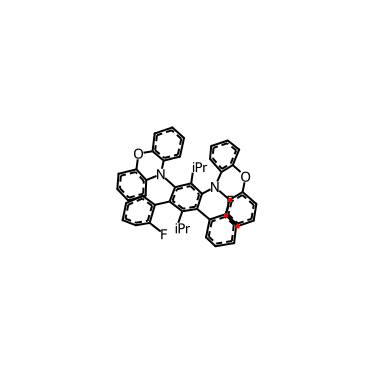 CC(C)c1c(-c2ccccc2F)c(N2c3ccccc3Oc3ccccc32)c(C(C)C)c(N2c3ccccc3Oc3ccccc32)c1-c1ccccc1F